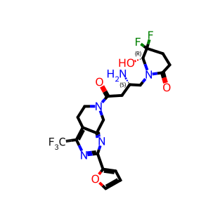 N[C@@H](CC(=O)N1CCc2c(nc(-c3ccco3)nc2C(F)(F)F)C1)CN1C(=O)CCC(F)(F)[C@H]1O